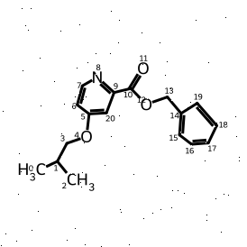 CC(C)COc1ccnc(C(=O)OCc2ccccc2)c1